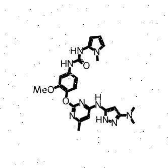 COc1cc(NC(=O)Nc2cccn2C)ccc1Oc1nc(C)cc(Nc2cc(N(C)C)n[nH]2)n1